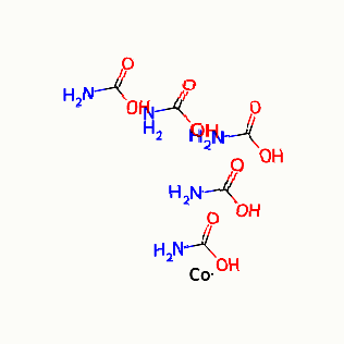 NC(=O)O.NC(=O)O.NC(=O)O.NC(=O)O.NC(=O)O.[Co]